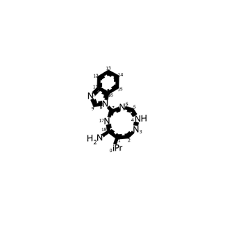 CC(C)c1cn[nH]cnc(-n2cnc3ccccc32)nc1N